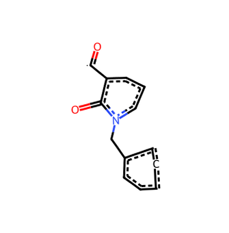 O=[C]c1cccn(Cc2ccccc2)c1=O